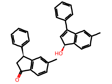 Cc1ccc2c(c1)C(c1ccccc1)=C[C@@H]2O.Cc1ccc2c(c1)[C@H](c1ccccc1)CC2=O